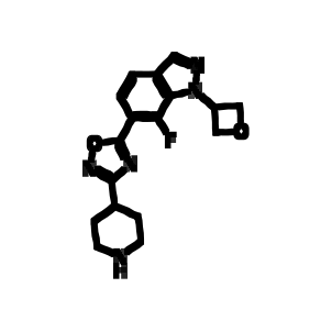 Fc1c(-c2nc(C3CCNCC3)no2)ccc2cnn(C3COC3)c12